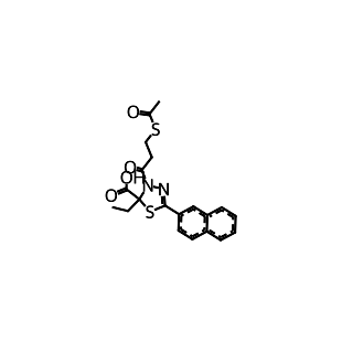 CCC1(C(=O)O)SC(c2ccc3ccccc3c2)=NN1C(=O)CCSC(C)=O